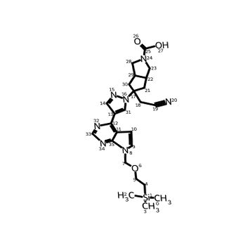 C[Si](C)(C)CCOCn1ccc2c(-c3cnn(C4(CC#N)CC5CN(C(=O)O)CC5C4)c3)ncnc21